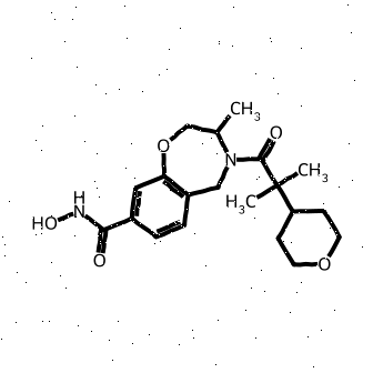 CC1COc2cc(C(=O)NO)ccc2CN1C(=O)C(C)(C)C1CCOCC1